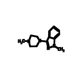 CN1CCN(c2nn(C)c3ccccc23)CC1